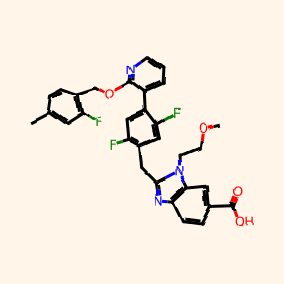 COCCn1c(Cc2cc(F)c(-c3cccnc3OCc3ccc(C)cc3F)cc2F)nc2ccc(C(=O)O)cc21